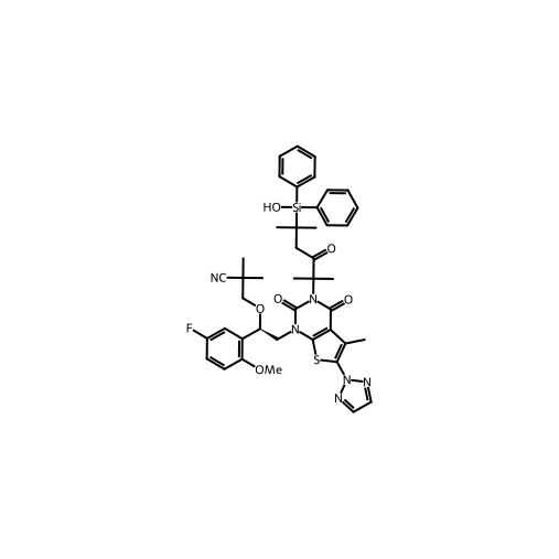 COc1ccc(F)cc1[C@H](Cn1c(=O)n(C(C)(C)C(=O)CC(C)(C)[Si](O)(c2ccccc2)c2ccccc2)c(=O)c2c(C)c(-n3nccn3)sc21)OCC(C)(C)C#N